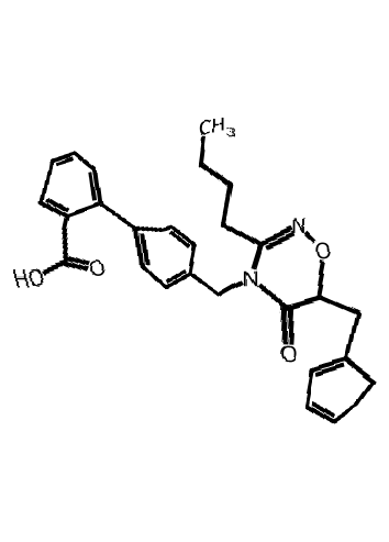 CCCCC1=NOC(CC2=CC=CCC2)C(=O)N1Cc1ccc(-c2ccccc2C(=O)O)cc1